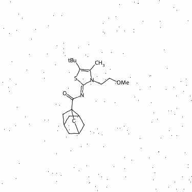 COCCn1c(C)c(C(C)(C)C)sc1=NC(=O)C12CC3CC(CC1C3)C2